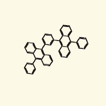 c1ccc(-c2c3ccccc3c(-c3cccc(-c4c5ccccc5c(-c5ccccc5)c5ccccc45)c3)c3ccccc23)cc1